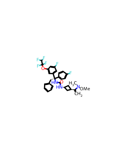 C=C([C@H]1C[C@H](NC(=O)N[C@](Cc2ccccc2)(c2ccc(F)cc2)c2cc(F)cc(OC(F)(F)C(F)F)c2)C1)N(C)OC